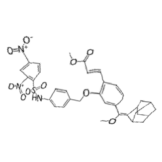 COC(=O)/C=C/c1ccc(C(OC)=C2C3CC4CC(C3)CC2C4)cc1OCc1ccc(NS(=O)(=O)c2ccc([N+](=O)[O-])cc2[N+](=O)[O-])cc1